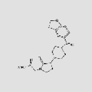 COC(=O)CN1CCC(N2CCC(C(=O)c3ccc4c(c3)CCO4)CC2)C1=O